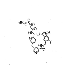 CC(C)(C)OC(=O)NCC(=O)NCc1ccc(Cc2cncc(C(=O)NCc3cc4c(Cl)c[nH]c4cc3F)c2)cn1